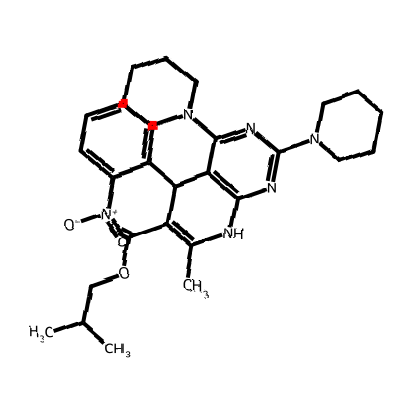 CC1=C(C(=O)OCC(C)C)C(c2ccccc2[N+](=O)[O-])c2c(nc(N3CCCCC3)nc2N2CCCCC2)N1